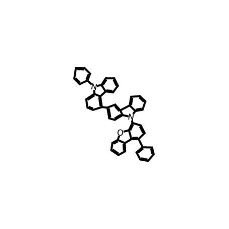 c1ccc(-c2ccc(-n3c4ccccc4c4cc(-c5cccc6c5c5ccccc5n6-c5ccccc5)ccc43)c3oc4ccccc4c23)cc1